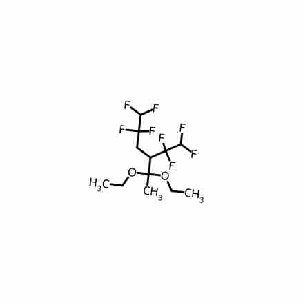 CCOC(C)(OCC)C(CC(F)(F)C(F)F)C(F)(F)C(F)F